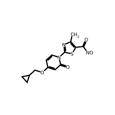 Cc1nc(-n2ccc(OCC3CC3)cc2=O)sc1C(=O)N=O